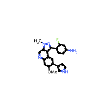 COc1cc2ncc3c(c(-c4ccc(N)cc4F)nn3C)c2cc1-c1cc[nH]c1